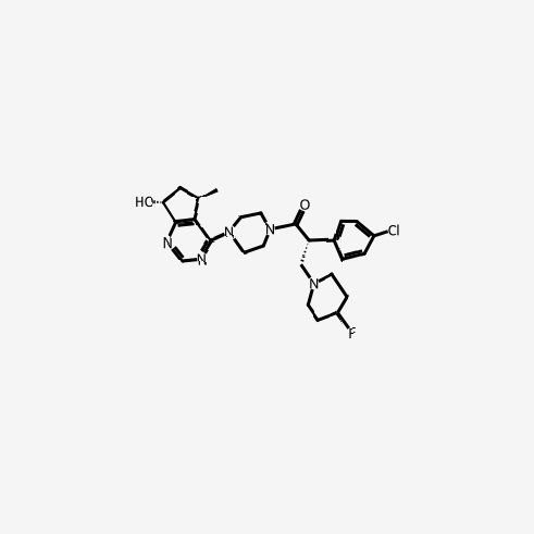 C[C@@H]1C[C@@H](O)c2ncnc(N3CCN(C(=O)[C@@H](CN4CCC(F)CC4)c4ccc(Cl)cc4)CC3)c21